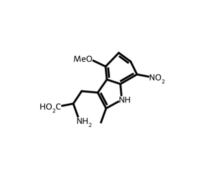 COc1ccc([N+](=O)[O-])c2[nH]c(C)c(CC(N)C(=O)O)c12